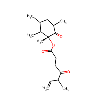 C=CC(C)C(=O)CCC(=O)O[C@@]1(C)C(=O)C(C)CC(C)C1C